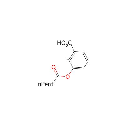 CCCCCC(=O)Oc1[c]c(C(=O)O)ccc1